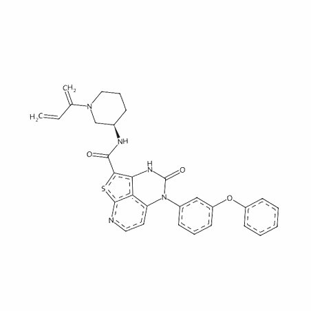 C=CC(=C)N1CCC[C@@H](NC(=O)c2sc3nccc4c3c2NC(=O)N4c2cccc(Oc3ccccc3)c2)C1